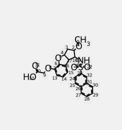 COC1CC2Oc3c(OCC(=O)O)cccc3C2C1NS(=O)(=O)c1ccc2ccccc2c1